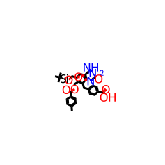 Cc1ccc(C(=O)OCC2OCCC2Cc2ccc(C(=O)O)cc2-n2cc(CCCO[Si](C)(C)C(C)(C)C)c(N)nc2=O)cc1